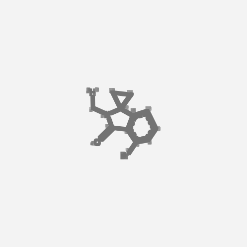 [2H]CN1C(=O)c2c(Br)cccc2C12CC2